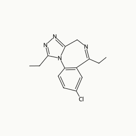 CCC1=NCc2nnc(CC)n2-c2ccc(Cl)cc21